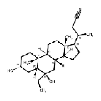 CC[C@@]1(O)C[C@H]2[C@@H]3CC[C@H]([C@H](C)CC#N)[C@@]3(C)CC[C@@H]2[C@@]2(C)CC[C@@H](O)C[C@@H]12